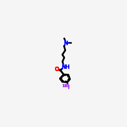 CN(C)CCCCCNC(=O)c1ccc([131I])cc1